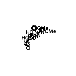 COC1=NC(c2nnc(NS(=O)(=O)C[C@@H](O)c3ncc(Cl)s3)n2-c2c(O)cccc2OC)=C=C=C1